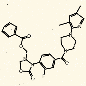 Cc1cnc(N2CCN(C(=O)c3ccc(N4C(=O)OC[C@H]4COC(=O)c4ccccc4)c(F)c3)CC2)c(C)c1